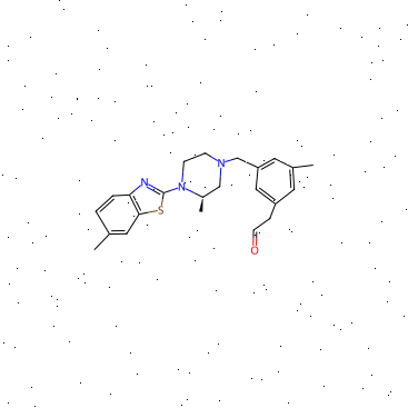 Cc1cc(CC=O)cc(CN2CCN(c3nc4ccc(C)cc4s3)[C@H](C)C2)c1